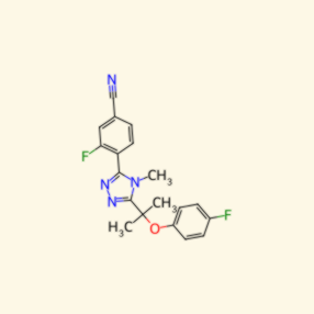 Cn1c(-c2ccc(C#N)cc2F)nnc1C(C)(C)Oc1ccc(F)cc1